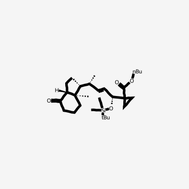 CCCCOC(=O)C1([C@@H](/C=C/[C@@H](C)[C@H]2CC[C@H]3C(=O)CCC[C@]23C)O[Si](C)(C)C(C)(C)C)CC1